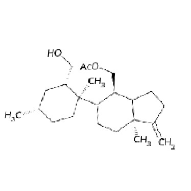 C=C1CCC2[C@H](COC(C)=O)C([C@@]3(C)CC[C@H](C)C[C@@H]3CO)CC[C@]12C